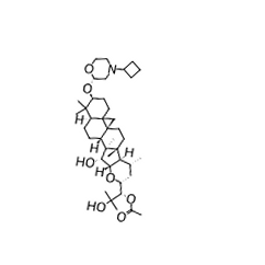 CC(=O)O[C@@H]([C@H]1C[C@@H](C)[C@H]2[C@H](O1)[C@H](O)[C@@]1(C)[C@@H]3CC[C@H]4C(C)(C)[C@@H](O[C@H]5CN(C6CCC6)CCO5)CCC45C[C@@]35CC[C@]21C)C(C)(C)O